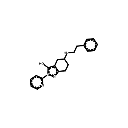 Oc1c2c(nn1-c1ccccn1)CCC(NCCc1ccccc1)C2